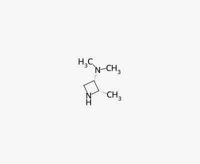 C[C@@H]1NC[C@@H]1N(C)C